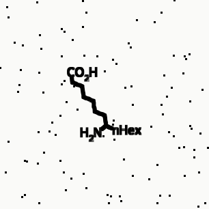 CCCCCCC(N)CCCCCCC(=O)O